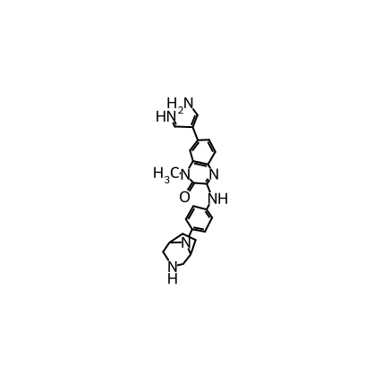 Cn1c(=O)c(Nc2ccc(N3C4CCC3CNC4)cc2)nc2ccc(/C(C=N)=C/N)cc21